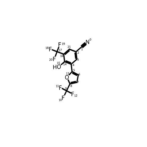 N#Cc1cc(-c2ccc(C(F)(F)F)o2)c(O)c(C(F)(F)F)c1